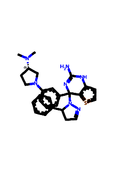 CN(C)[C@H]1CCN(c2cccc(C3(N4N=CCC4c4ccccc4)N=C(N)Nc4ccsc43)c2)C1